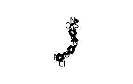 O=C(c1nccs1)N1CCN(C2CN(Cc3ccc(OCc4cncc(Cl)c4)cc3)C2)CC1